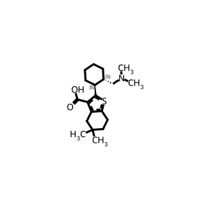 CN(C)C[C@H]1CCCC[C@@H]1c1sc2c(c1C(=O)O)CC(C)(C)CC2